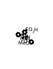 COc1ccccc1-n1nnn(C(=O)N(c2ccccc2)c2ccc(C(=O)O)cc2)c1=O